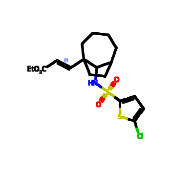 CCOC(=O)/C=C/C12CCCCC(CC1)C2NS(=O)(=O)c1ccc(Cl)s1